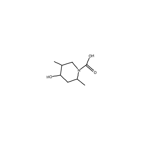 CC1CN(C(=O)O)C(C)CC1O